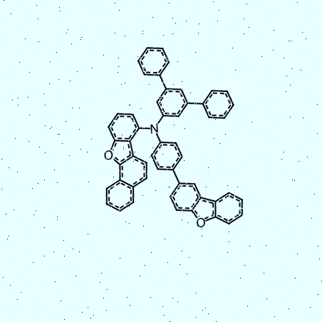 c1ccc(-c2cc(-c3ccccc3)cc(N(c3ccc(-c4ccc5oc6ccccc6c5c4)cc3)c3cccc4oc5c6ccccc6ccc5c34)c2)cc1